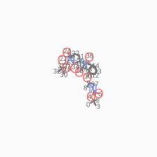 CC(C)(C)OC(=O)N1CC(Oc2cccc3c2C(=O)N(C2CCC(=O)N(C(=O)OC(C)(C)C)C2=O)C3=O)C1